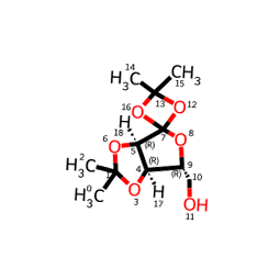 CC1(C)O[C@H]2[C@@H](O1)C1(O[C@@H]2CO)OC(C)(C)O1